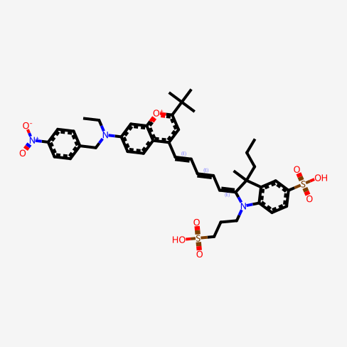 CCCC1(C)\C(=C/C=C/C=C/c2cc(C(C)(C)C)[o+]c3cc(N(CC)Cc4ccc([N+](=O)[O-])cc4)ccc23)N(CCCS(=O)(=O)O)c2ccc(S(=O)(=O)O)cc21